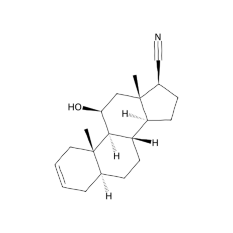 C[C@]12CC=CC[C@@H]1CC[C@@H]1[C@@H]2[C@@H](O)C[C@]2(C)[C@@H](C#N)CC[C@@H]12